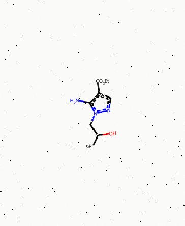 CCCC(O)Cn1ncc(C(=O)OCC)c1N